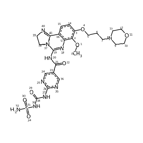 COc1c(OCCCN2CCOCC2)ccc2c1N=C(NC(=O)c1cnc(NC(=O)NS(N)(=O)=O)nc1)N1CCN=C21